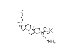 CC(C)CCCC(C)[C@H]1CCC2C3CC=C4CC(N(CCCN)C(=O)OC(C)(C)C)CC[C@]4(C)C3CC[C@@]21C